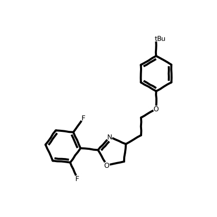 CC(C)(C)c1ccc(OCCC2COC(c3c(F)cccc3F)=N2)cc1